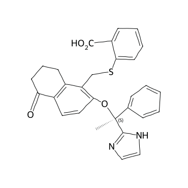 C[C@](Oc1ccc2c(c1CSc1ccccc1C(=O)O)CCCC2=O)(c1ccccc1)c1ncc[nH]1